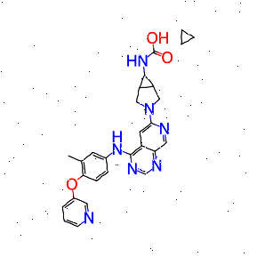 C1CC1.Cc1cc(Nc2ncnc3cnc(N4CC5C(C4)C5NC(=O)O)cc23)ccc1Oc1cccnc1